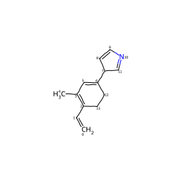 C=CC1=C(C)C=C(C2C=CN=C2)CC1